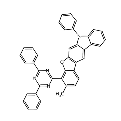 Cc1ccc2c(oc3cc4c(cc32)c2ccccc2n4-c2ccccc2)c1-c1nc(-c2ccccc2)nc(-c2ccccc2)n1